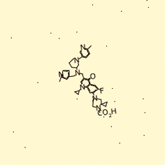 Cc1ccc(N2CCC[C@H](N(Cc3ccnc(C)c3)Cc3cn(C4CC4)c4cc(N5CCN(C(=O)O)C6(CC6)C5)c(F)cc4c3=O)C2)cn1